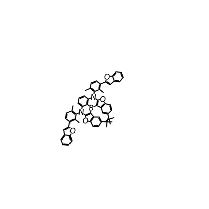 Cc1ccc(-c2cc3ccccc3o2)c(C)c1N1c2cccc3c2B(c2c1oc1ccc(C(C)(C)C)cc21)c1c(oc2ccc(C(C)(C)C)cc12)N3c1c(C)ccc(-c2cc3ccccc3o2)c1C